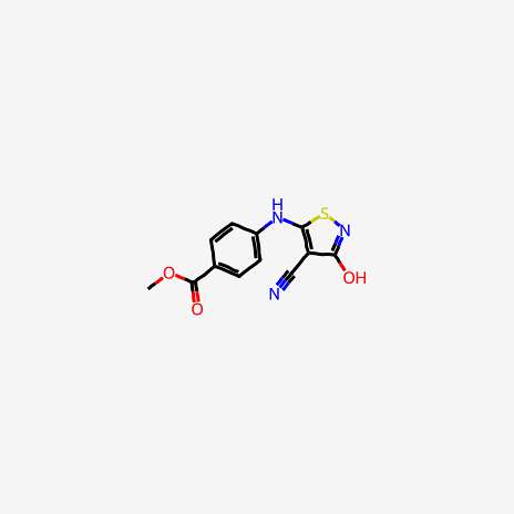 COC(=O)c1ccc(Nc2snc(O)c2C#N)cc1